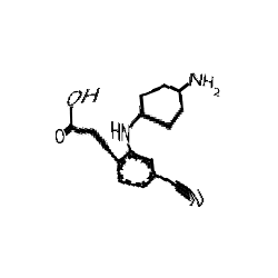 N#Cc1ccc(CCC(=O)O)c(NC2CCC(N)CC2)c1